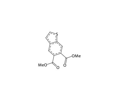 COC(=O)c1cc2ccsc2cc1C(=O)OC